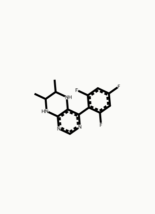 CC1Nc2ncnc(-c3c(F)cc(F)cc3F)c2NC1C